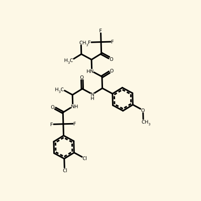 COc1ccc(C(NC(=O)C(C)NC(=O)C(F)(F)c2ccc(Cl)c(Cl)c2)C(=O)NC(C(=O)C(F)(F)F)C(C)C)cc1